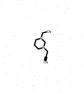 C#CCN1CCCN(CC#N)C1